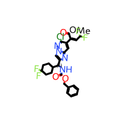 COC(=O)C(=CC(F)F)c1cc2nc([C@@H](NC(=O)OCc3ccccc3)C3CCC(F)(F)CC3)cn2nc1Cl